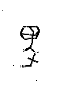 CC(C)(CO)NC(=O)CC12CC3CC(CC(C3)C1)C2